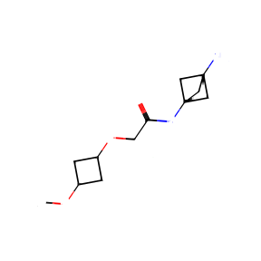 Cl.NC12CC(NC(=O)COC3CC(OC(F)(F)F)C3)(C1)C2